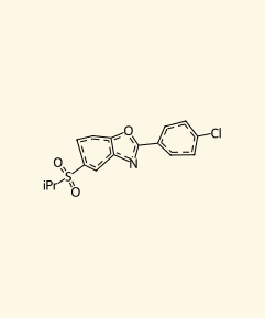 CC(C)S(=O)(=O)c1ccc2oc(-c3ccc(Cl)cc3)nc2c1